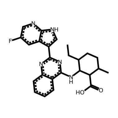 CCC1CCC(C)C(C(=O)O)C1Nc1nc(-c2c[nH]c3ncc(F)cc23)nc2ccccc12